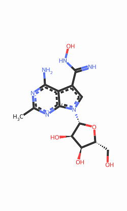 Cc1nc(N)c2c(C(=N)NO)cn([C@@H]3O[C@H](CO)[C@@H](O)[C@H]3O)c2n1